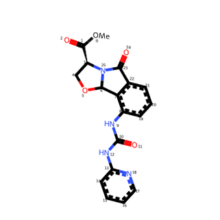 COC(=O)[C@@H]1COC2c3c(NC(=O)Nc4ccccn4)cccc3C(=O)N21